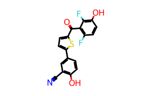 N#Cc1cc(-c2ccc(C(=O)c3c(F)ccc(O)c3F)s2)ccc1O